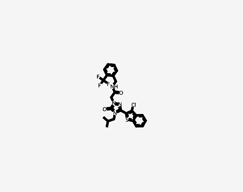 CC(C)Cn1c(-c2sc3ccccc3c2Cl)nn(CC(=O)NCc2ccccc2C(F)(F)F)c1=O